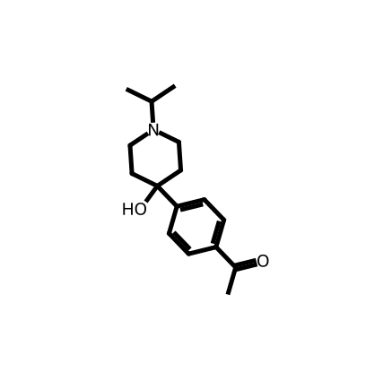 CC(=O)c1ccc(C2(O)CCN(C(C)C)CC2)cc1